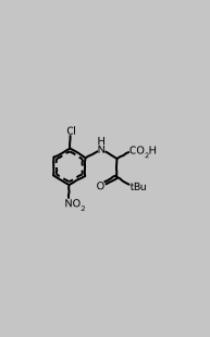 CC(C)(C)C(=O)C(Nc1cc([N+](=O)[O-])ccc1Cl)C(=O)O